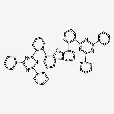 c1ccc(-c2nc(-c3ccccc3)nc(-c3ccccc3-c3cccc4c3oc3c(-c5ccccc5-c5nc(-c6ccccc6)nc(-c6ccccc6)n5)cccc34)n2)cc1